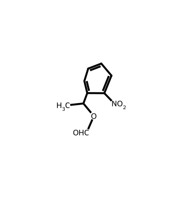 CC(OC=O)c1ccccc1[N+](=O)[O-]